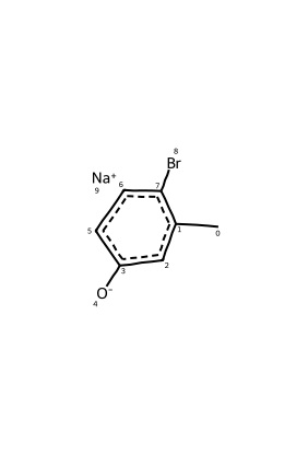 Cc1cc([O-])ccc1Br.[Na+]